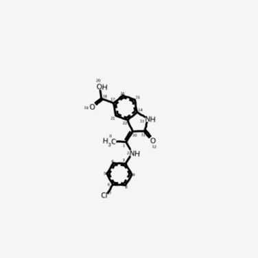 C/C(Nc1ccc(Cl)cc1)=C1/C(=O)Nc2ccc(C(=O)O)cc21